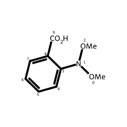 CON(OC)c1ccccc1C(=O)O